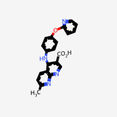 Cc1ccc2c(Nc3ccc(Oc4ccccn4)cc3)c(C(=O)O)cnc2n1